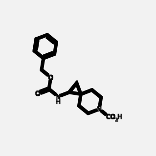 O=C(NC1CC12CCN(C(=O)O)CC2)OCc1ccccc1